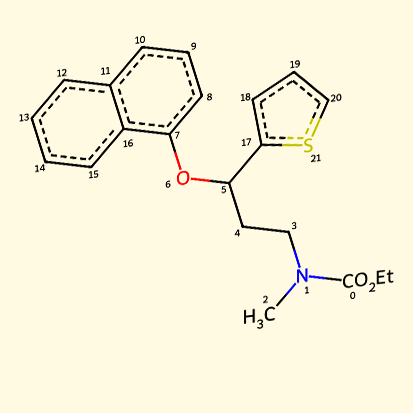 CCOC(=O)N(C)CCC(Oc1cccc2ccccc12)c1cccs1